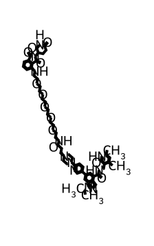 Cc1cc(C)c(CNC(=O)c2cc(-c3ccc(N4CCN(CCC(=O)NCCOCCOCCOCCOCCOCCNc5cccc6c5C(=O)N(C5CCC(=O)NC5=O)C6=O)CC4)nc3)cc3c2cnn3C(C)C)c(=O)[nH]1